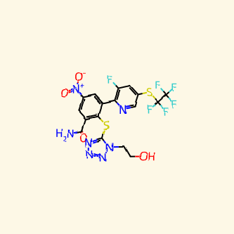 NC(=O)c1cc([N+](=O)[O-])cc(-c2ncc(SC(F)(F)C(F)(F)F)cc2F)c1Sc1nnnn1CCO